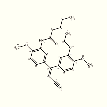 CCCCC(=O)Nc1cc(C(=CC#N)c2ccc(OC)c(OCC)c2)ccc1OC